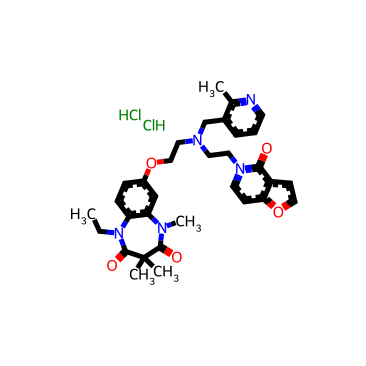 CCN1C(=O)C(C)(C)C(=O)N(C)c2cc(OCCN(CCn3ccc4occc4c3=O)Cc3cccnc3C)ccc21.Cl.Cl